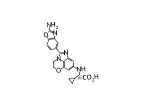 Nc1nc2cc(-c3nc4cc(N[C@H](C(=O)O)C5CC5)cc5c4n3CCO5)ccc2o1